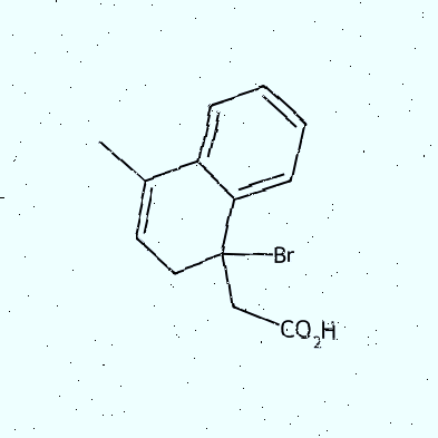 CC1=CCC(Br)(CC(=O)O)c2ccccc21